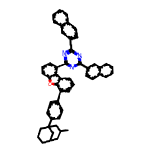 CC1CC2CCCC(c3ccc(-c4cccc5c4oc4cccc(-c6nc(-c7ccc8ccccc8c7)nc(-c7ccc8ccccc8c7)n6)c45)cc3)(C1)C2